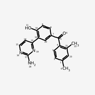 Cc1ccc(C(=O)c2ccc(O)c(-c3ccnc(N)n3)c2)c(C)c1